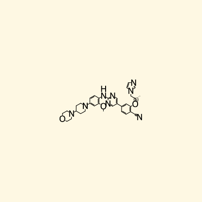 COc1cc(N2CCC(N3CCOCC3)CC2)ccc1Nc1ncc(-c2ccc(C#N)c(O[C@@H](C)Cn3ccnc3)c2)cn1